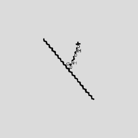 CCCCCCCCCCCCCCCCCCC(CCCCCCCCCCCCCCCCCC)OC(=O)NCCCOCNCOC(C)(C)C